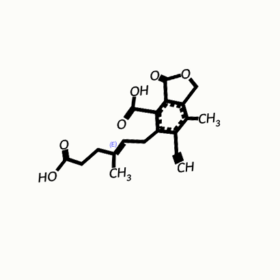 C#Cc1c(C)c2c(c(C(=O)O)c1C/C=C(\C)CCC(=O)O)C(=O)OC2